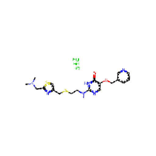 CN(C)Cc1nc(CSCCNc2ncc(OCc3cccnc3)c(=O)[nH]2)cs1.Cl.Cl.Cl